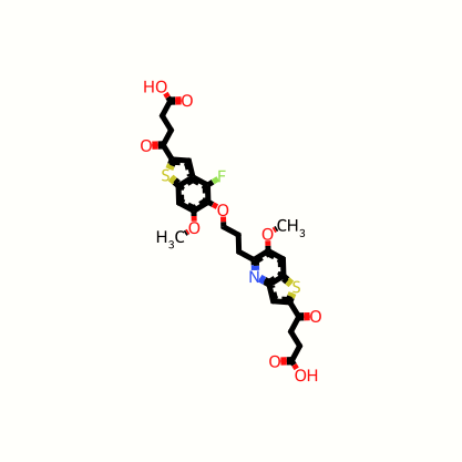 COc1cc2sc(C(=O)CCC(=O)O)cc2nc1CCCOc1c(OC)cc2sc(C(=O)CCC(=O)O)cc2c1F